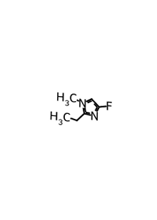 CCc1nc(F)cn1C